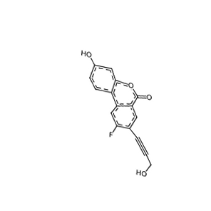 O=c1oc2cc(O)ccc2c2cc(F)c(C#CCO)cc12